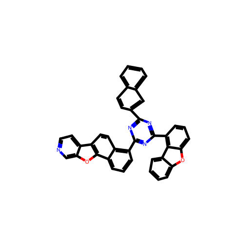 c1ccc2cc(-c3nc(-c4cccc5c4ccc4c6ccncc6oc54)nc(-c4cccc5oc6ccccc6c45)n3)ccc2c1